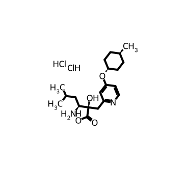 CC(C)C[C@H](N)[C@](O)(Cc1cc(O[C@H]2CC[C@H](C)CC2)ccn1)C(=O)O.Cl.Cl